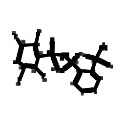 O=S(=O)(O)c1ccccc1S(=O)(=O)NS(=O)(=O)c1c(F)c(F)cc(F)c1F